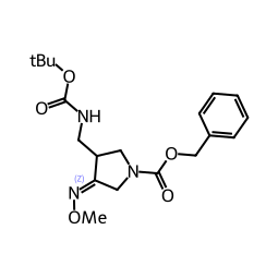 CO/N=C1\CN(C(=O)OCc2ccccc2)CC1CNC(=O)OC(C)(C)C